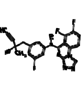 C#CC(C)(O)Cc1cc(F)cc(N(CC)c2nc3nncn3c3ccc(F)c(F)c23)c1